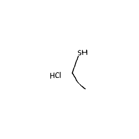 CCS.Cl